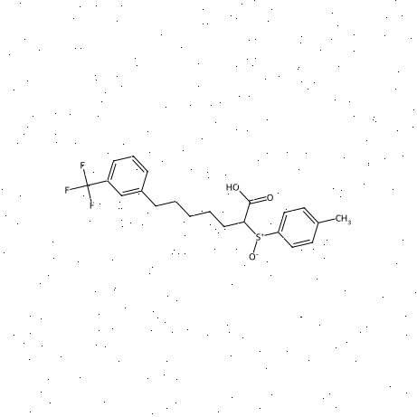 Cc1ccc([S+]([O-])C(CCCCCc2cccc(C(F)(F)F)c2)C(=O)O)cc1